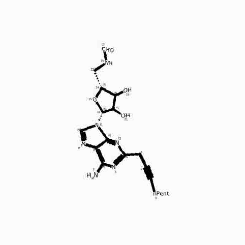 CCCCCC#CCc1nc(N)c2ncn([C@@H]3O[C@H](CNC=O)C(O)C3O)c2n1